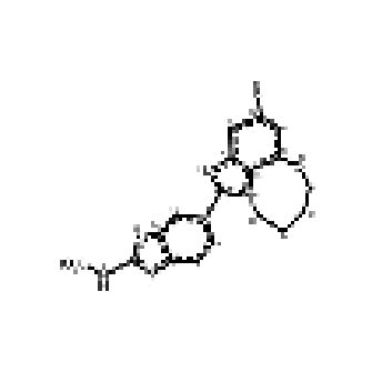 O=C(O)Nc1nc2ccc(-c3nc4cc(Br)cc5c4n3CCCCO5)cc2s1